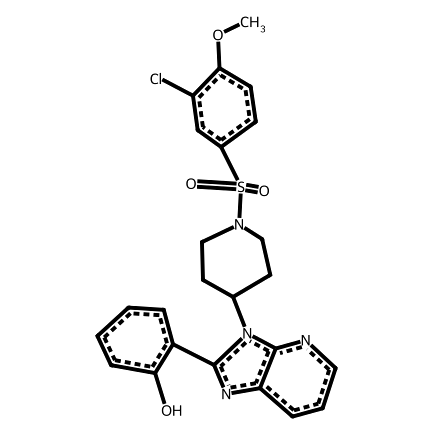 COc1ccc(S(=O)(=O)N2CCC(n3c(-c4ccccc4O)nc4cccnc43)CC2)cc1Cl